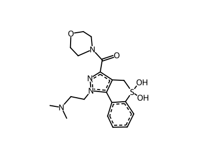 CN(C)CCn1nc(C(=O)N2CCOCC2)c2c1-c1ccccc1S(O)(O)C2